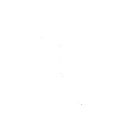 CC(=O)Nc1cccc(N2CC3(C2)CN(c2cccc(C(=O)O)c2N)C3)c1